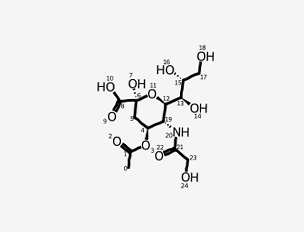 CC(=O)O[C@H]1C[C@@](O)(C(=O)O)O[C@@H]([C@H](O)[C@H](O)CO)[C@@H]1NC(=O)CO